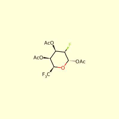 CC(=O)O[C@@H]1O[C@@H](C(F)(F)F)[C@@H](OC(C)=O)[C@@H](OC(C)=O)[C@H]1F